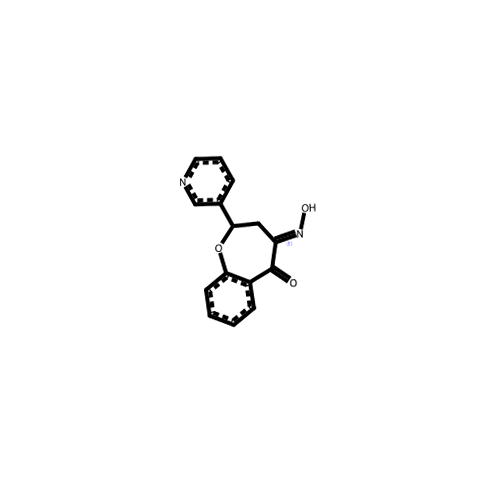 O=C1/C(=N/O)CC(c2cccnc2)Oc2ccccc21